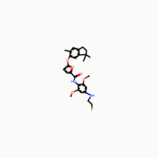 COc1cc(NCCF)cc(OC)c1NC(=O)c1ccc(Oc2cc3c(cc2C)CCC3(C)C)o1